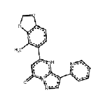 Cc1c(-c2cc(=O)n3ncc(-c4ccccn4)c3[nH]2)ccc2c1OCO2